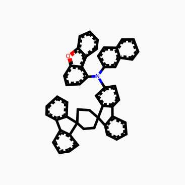 c1ccc2c(c1)-c1ccccc1C21CCC2(CC1)c1ccccc1-c1ccc(N(c3ccc4ccccc4c3)c3cccc4oc5ccccc5c34)cc12